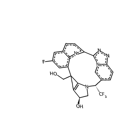 OCC12C3=C1N(C[C@H]3O)[C@@H](C(F)(F)F)c1ccc3nnc(n3c1)-c1ccc3cc(F)cc2c3n1